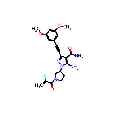 C=C(F)C(=O)N1CCC(n2nc(C#Cc3cc(OC)cc(OC)c3)c(C(N)=O)c2N)C1